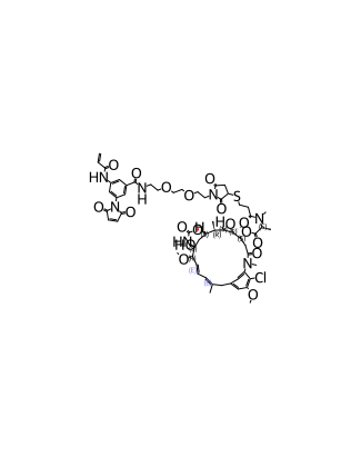 C=CC(=O)Nc1cc(C(=O)NCCOCCOCCN2C(=O)CC(SCCC(=O)N(C)[C@@H](C)C(=O)O[C@H]3CC(=O)N(C)c4cc(cc(OC)c4Cl)C/C(C)=C/C=C/[C@@H](OC)[C@@]4(O)C[C@H](OC(=O)N4)[C@@H](C)[C@@H]4O[C@@]34C)C2=O)cc(N2C(=O)C=CC2=O)c1